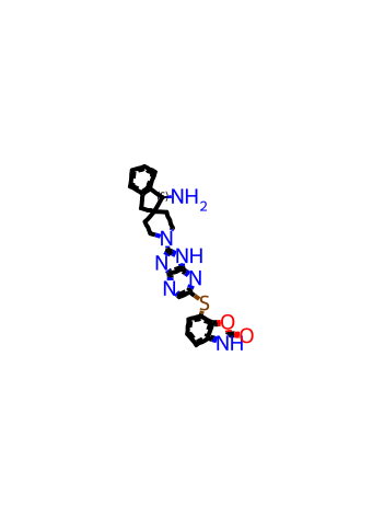 N[C@@H]1c2ccccc2CC12CCN(c1nc3ncc(Sc4cccc5[nH]c(=O)oc45)nc3[nH]1)CC2